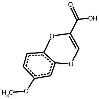 COc1ccc2c(c1)OC=C(C(=O)O)O2